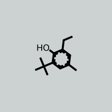 CCc1cc(C)cc(C(C)(C)C)c1O